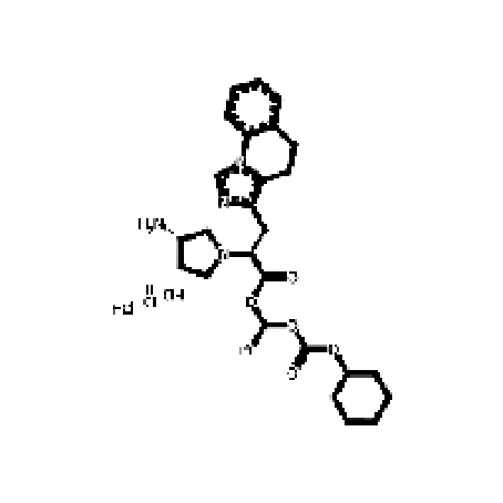 CC(C)C(OC(=O)OC1CCCCC1)OC(=O)[C@H](Cc1ncn2c1CCc1ccccc1-2)N1CC[C@H](N)C1.Cl.Cl.Cl